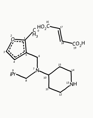 Cc1occc1CN(CC(C)C)C1CCNCC1.O=C(O)/C=C/C(=O)O